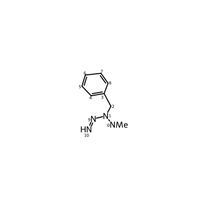 CNN(Cc1ccccc1)N=N